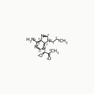 CC(=O)C=O.CCCn1cnc2c(N)ncnc21